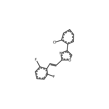 Fc1cccc(F)c1/C=C/c1nc(-c2ccccc2Cl)co1